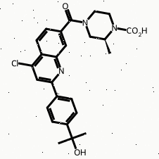 C[C@H]1CN(C(=O)c2ccc3c(Cl)cc(-c4ccc(C(C)(C)O)cc4)nc3c2)CCN1C(=O)O